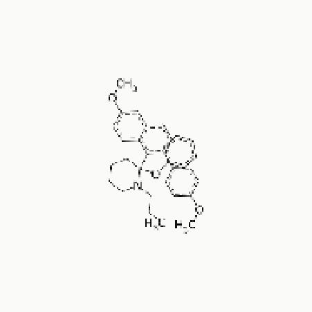 CCCN1CCCCC1(Oc1ccccc1)c1c(-c2ccc(OC)cc2)ccc2cc(OC)ccc12